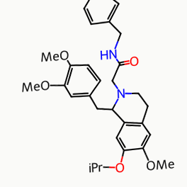 COc1ccc(CC2c3cc(OC(C)C)c(OC)cc3CCN2CC(=O)NCc2ccccc2)cc1OC